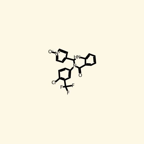 O=C1c2ccccc2NC(c2cc[n+]([O-])cc2)N1c1ccc(Cl)c(C(F)(F)F)c1